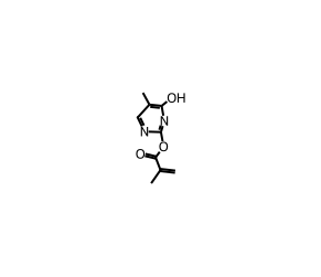 C=C(C)C(=O)Oc1ncc(C)c(O)n1